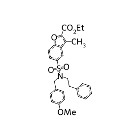 CCOC(=O)c1oc2ccc(S(=O)(=O)N(CCc3ccccc3)Cc3ccc(OC)cc3)cc2c1C